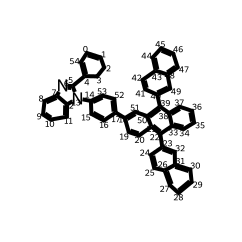 C1=CCCC(c2nc3ccccc3n2-c2ccc(-c3ccc4c(-c5ccc6ccccc6c5)c5ccccc5c(-c5ccc6ccccc6c5)c4c3)cc2)=C1